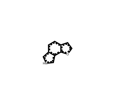 c1cc2ccc3c[nH]cc3c2o1